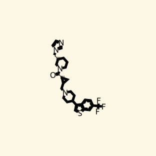 O=C([C@@H]1CC1CN1CCC(c2csc3cc(C(F)(F)F)ccc23)CC1)N1CCC[C@@H](Cn2ccnc2)C1